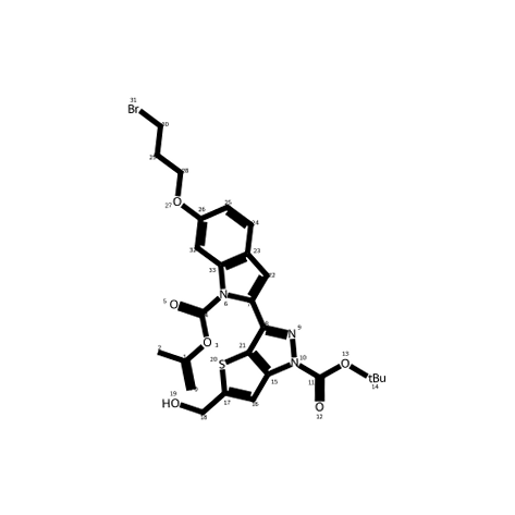 C=C(C)OC(=O)n1c(-c2nn(C(=O)OC(C)(C)C)c3cc(CO)sc23)cc2ccc(OCCCBr)cc21